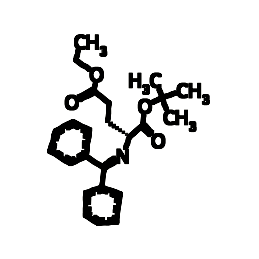 CCOC(=O)CC[C@@H](N=C(c1ccccc1)c1ccccc1)C(=O)OC(C)(C)C